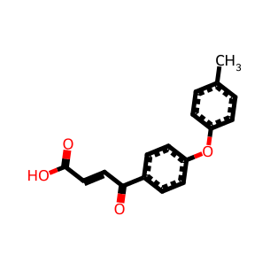 Cc1ccc(Oc2ccc(C(=O)C=CC(=O)O)cc2)cc1